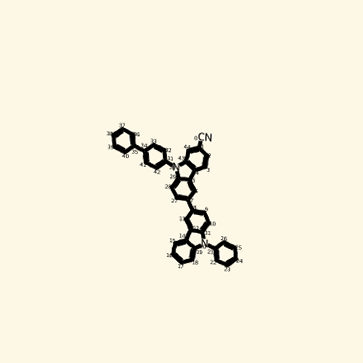 N#Cc1ccc2c3cc(-c4ccc5c(c4)c4ccccc4n5-c4ccccc4)ccc3n(-c3ccc(-c4ccccc4)cc3)c2c1